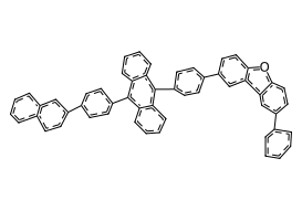 c1ccc(-c2ccc3oc4ccc(-c5ccc(-c6c7ccccc7c(-c7ccc(-c8ccc9ccccc9c8)cc7)c7ccccc67)cc5)cc4c3c2)cc1